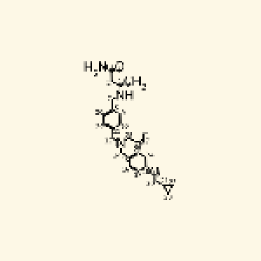 C=C(CC(N)=O)NCc1ccc(CN2Cc3ccc(OCC4CC4)cc3C(F)C2)cc1